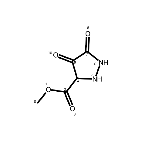 COC(=O)C1NNC(=O)C1=O